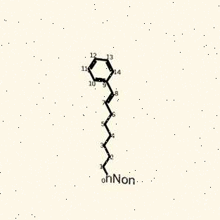 CCCCCCCCCCCCCCCC=Cc1c[c]ccc1